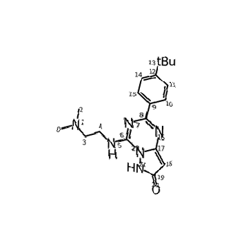 CN(C)CCNc1nc(-c2ccc(C(C)(C)C)cc2)nc2cc(=O)[nH]n12